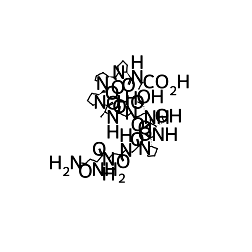 C[C@H](NC(=O)CNC(=O)[C@H](CO)NC(=O)[C@H](CO)NC(=O)[C@@H]1CCCN1C(=O)CNC(=O)CNC(=O)[C@@H](N)CC(N)=O)C(=O)N1CCC[C@H]1C(=O)N1CCC[C@H]1C(=O)N1CCC[C@H]1C(=O)N[C@@H](CO)C(=O)O